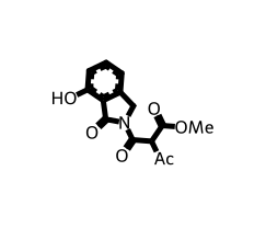 COC(=O)C(C(C)=O)C(=O)N1Cc2cccc(O)c2C1=O